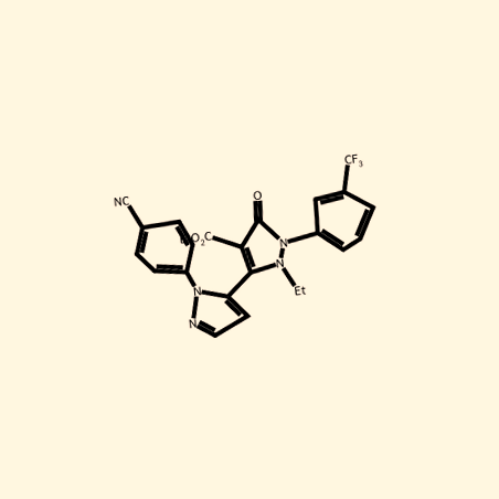 CCOC(=O)c1c(-c2ccnn2-c2ccc(C#N)cc2)n(CC)n(-c2cccc(C(F)(F)F)c2)c1=O